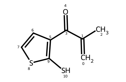 C=C(C)C(=O)c1ccsc1S